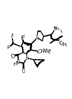 COc1c(N2CCC(C(N)C(C)(C)O)C2)c(F)c(C(F)F)c2c(=O)[nH]c(=O)n(C3CC3)c12